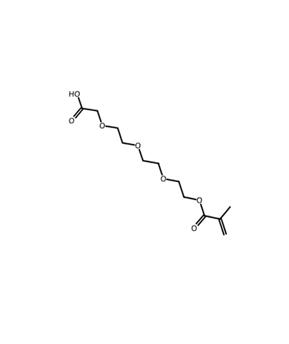 C=C(C)C(=O)OCCOCCOCCOCC(=O)O